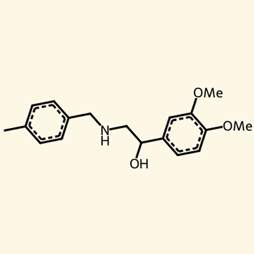 COc1ccc(C(O)CNCc2ccc(C)cc2)cc1OC